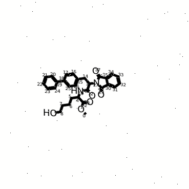 COC(=O)C(CCCCO)NC(=O)C(Cc1ccc(-c2ccccc2)cc1)N1C(=O)c2ccccc2C1=O